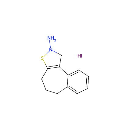 I.NN1CC2=C(CCCc3ccccc32)S1